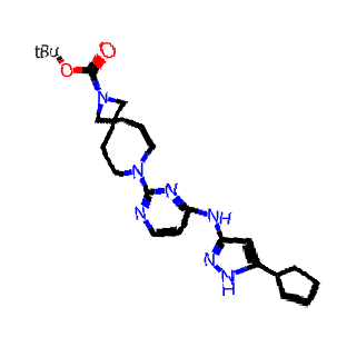 CC(C)(C)OC(=O)N1CC2(CCN(c3nccc(Nc4cc(C5CCCC5)[nH]n4)n3)CC2)C1